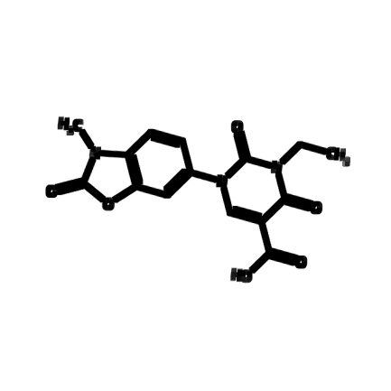 CCn1c(=O)c(C(=O)O)cn(-c2ccc3c(c2)oc(=O)n3C)c1=O